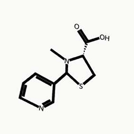 CN1C(c2cccnc2)SC[C@H]1C(=O)O